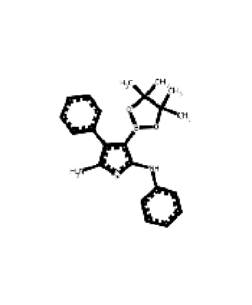 CC1(C)OB(c2c(Nc3ccccc3)sc(N)c2-c2ccccc2)OC1(C)C